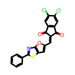 O=C1C(=Cc2cc3sc(-c4ccccc4)nc3o2)C(=O)c2cc(Cl)c(Cl)cc21